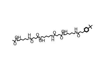 CC(=O)N(O)CCCCCNC(=O)CCC(=O)N(O)CCCCCNC(=O)CCC(=O)N(O)CCCCCNC(=O)CCc1ccc(C(C)(C)C)cc1